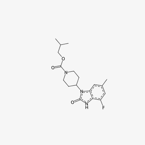 Cc1cc(F)c2[nH]c(=O)n(C3CCN(C(=O)OCC(C)C)CC3)c2c1